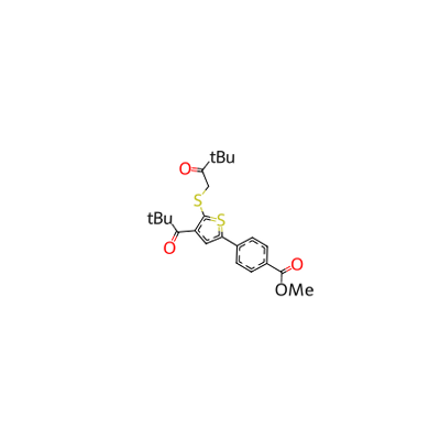 COC(=O)c1ccc(-c2cc(C(=O)C(C)(C)C)c(SCC(=O)C(C)(C)C)s2)cc1